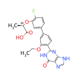 CCOc1cc(-c2ccc(F)c(O[C@H](C)C(=O)O)c2)ccc1-c1nc2[nH]cnc2c(=O)[nH]1